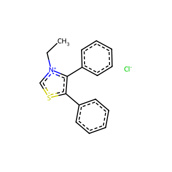 CC[n+]1csc(-c2ccccc2)c1-c1ccccc1.[Cl-]